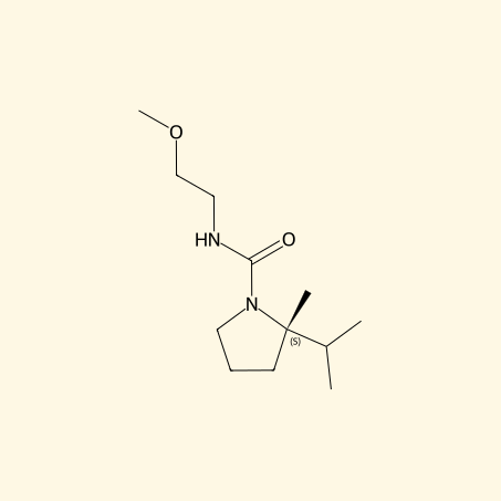 COCCNC(=O)N1CCC[C@@]1(C)C(C)C